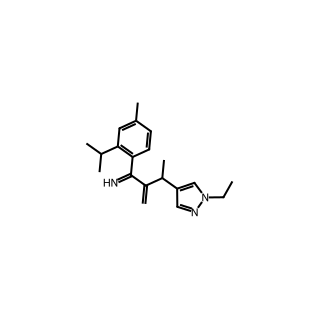 C=C(C(=N)c1ccc(C)cc1C(C)C)C(C)c1cnn(CC)c1